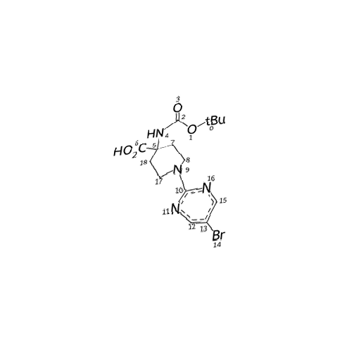 CC(C)(C)OC(=O)NC1(C(=O)O)CCN(c2ncc(Br)cn2)CC1